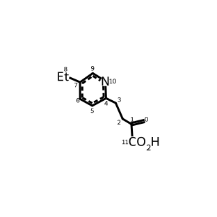 C=C(CCc1ccc(CC)cn1)C(=O)O